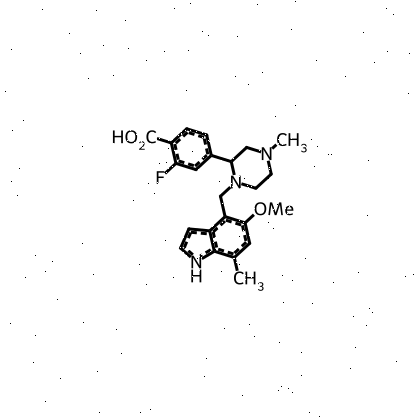 COc1cc(C)c2[nH]ccc2c1CN1CCN(C)CC1c1ccc(C(=O)O)c(F)c1